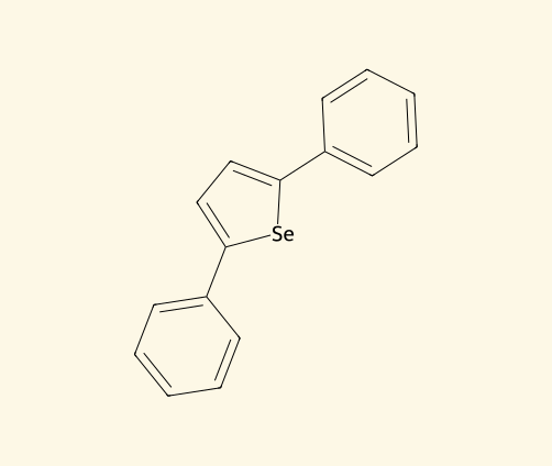 c1ccc(-c2ccc(-c3ccccc3)[se]2)cc1